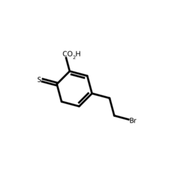 O=C(O)C1=CC(CCBr)=CCC1=S